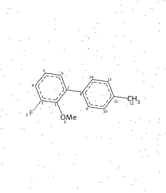 COc1c(F)cccc1-c1ccc(C)cc1